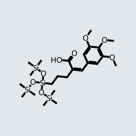 COc1cc(C=C(CCC[Si](O[Si](C)(C)C)(O[Si](C)(C)C)O[Si](C)(C)C)C(=O)O)cc(OC)c1OC